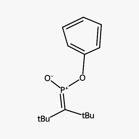 CC(C)(C)C(=[P+]([O-])Oc1ccccc1)C(C)(C)C